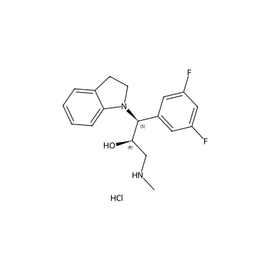 CNC[C@@H](O)[C@H](c1cc(F)cc(F)c1)N1CCc2ccccc21.Cl